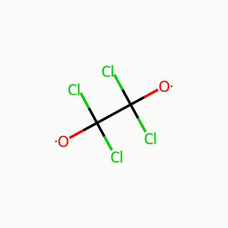 [O]C(Cl)(Cl)C([O])(Cl)Cl